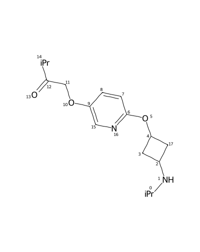 CC(C)NC1CC(Oc2ccc(OCC(=O)C(C)C)cn2)C1